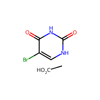 CC(=O)O.O=c1[nH]cc(Br)c(=O)[nH]1